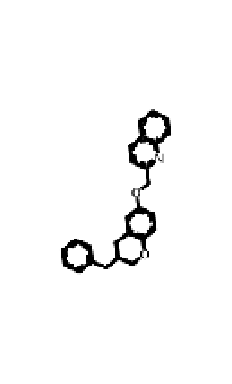 [CH]1c2cc(OCc3ccc4ccccc4n3)ccc2OCC1Cc1ccccc1